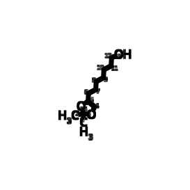 CC1(C)OCC(CCCCCCCO)O1